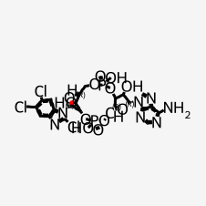 Nc1ncnc2c1ncn2[C@@H]1O[C@@H]2COP(=O)(O)OC3C(O)[C@@H](COP(=O)(O)OC2C1O)O[C@H]3n1c(Cl)nc2cc(Cl)c(Cl)cc21